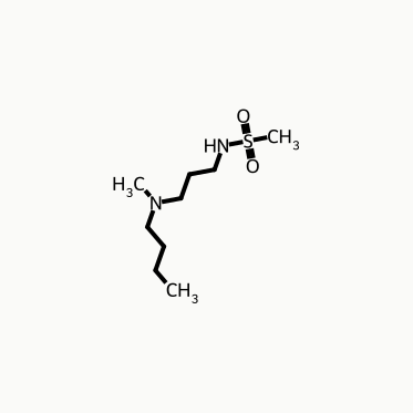 CCCCN(C)CCCNS(C)(=O)=O